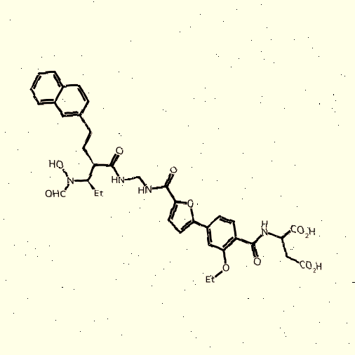 CCOc1cc(-c2ccc(C(=O)NCNC(=O)[C@H](CCc3ccc4ccccc4c3)[C@@H](CC)N(O)C=O)o2)ccc1C(=O)NC(CC(=O)O)C(=O)O